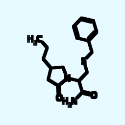 CCCC1CC(=O)N(C(CSCc2ccccc2)C(N)=O)C1